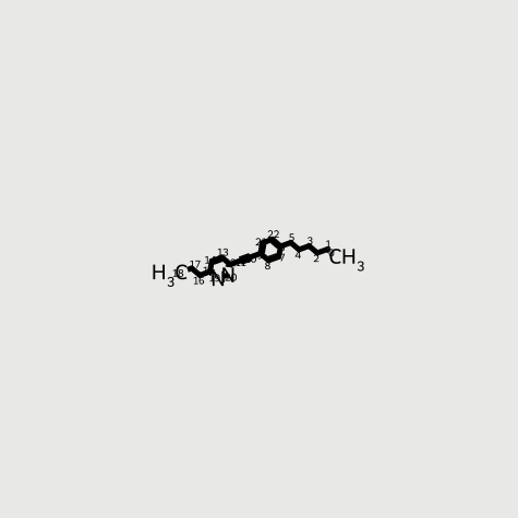 CCCCCCc1ccc(C#Cc2ccc(CCC)nn2)cc1